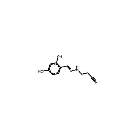 N#CCCN/N=C/c1ccc(O)cc1O